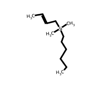 CC=CC[Si](C)(C)CCCCCC